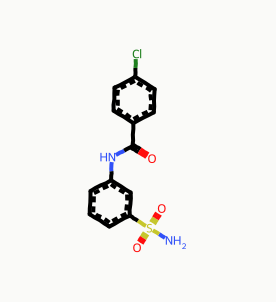 NS(=O)(=O)c1cccc(NC(=O)c2ccc(Cl)cc2)c1